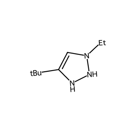 CCN1C=C(C(C)(C)C)NN1